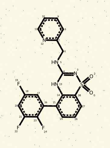 O=S1(=O)N=C(NCc2ccccn2)Nc2c(-c3cc(F)cc(F)c3F)cccc21